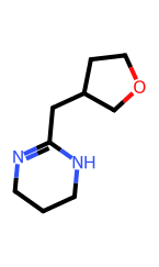 C1CN=C(CC2CCOC2)NC1